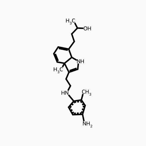 Cc1cc(N)ccc1NCCC1=CNC2C(CCC(C)O)=CC=CC12C